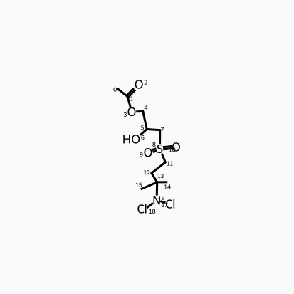 CC(=O)OCC(O)CS(=O)(=O)CCC(C)(C)N(Cl)Cl